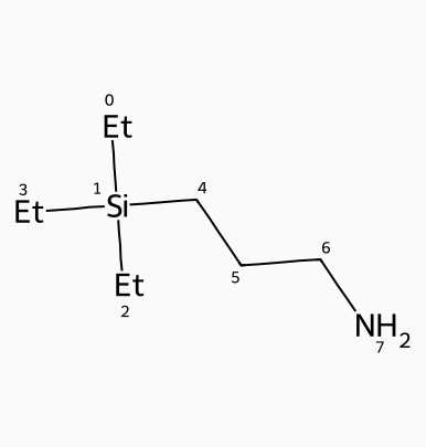 CC[Si](CC)(CC)CCCN